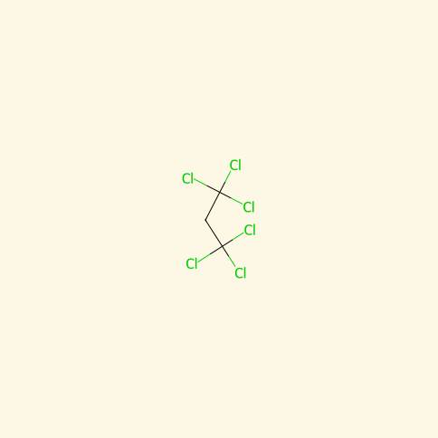 ClC(Cl)(Cl)CC(Cl)(Cl)Cl